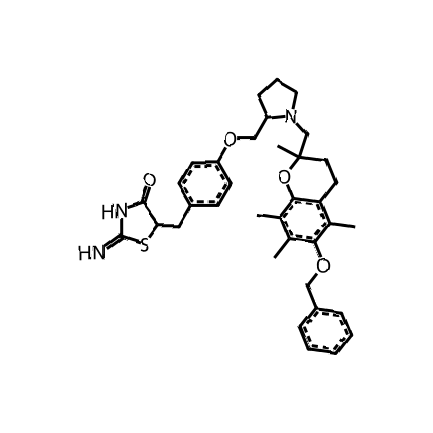 Cc1c(C)c2c(c(C)c1OCc1ccccc1)CCC(C)(CN1CCCC1COc1ccc(CC3SC(=N)NC3=O)cc1)O2